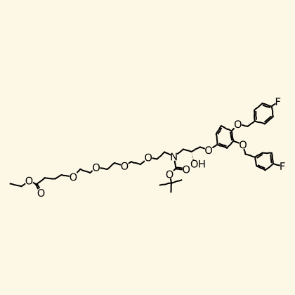 CCOC(=O)CCCOCCOCCOCCOCCN(C[C@@H](O)COc1ccc(OCc2ccc(F)cc2)c(OCc2ccc(F)cc2)c1)C(=O)OC(C)(C)C